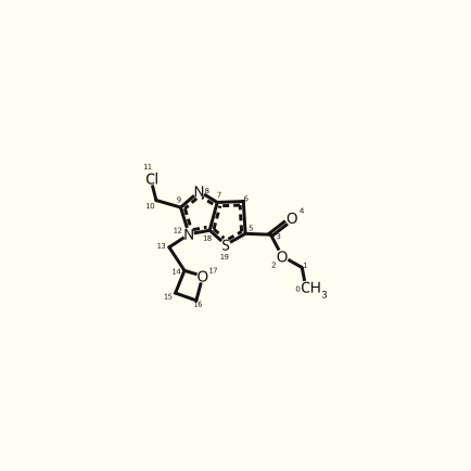 CCOC(=O)c1cc2nc(CCl)n(CC3CCO3)c2s1